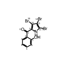 O=C(c1ccccc1O)c1[nH]c(Br)c(Br)c1Br